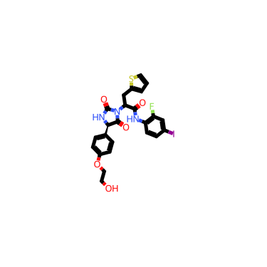 O=C(Nc1ccc(I)cc1F)C(Cc1cccs1)N1C(=O)N[C@H](c2ccc(OCCO)cc2)C1=O